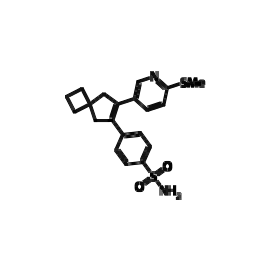 CSc1ccc(C2=C(c3ccc(S(N)(=O)=O)cc3)CC3(CCC3)C2)cn1